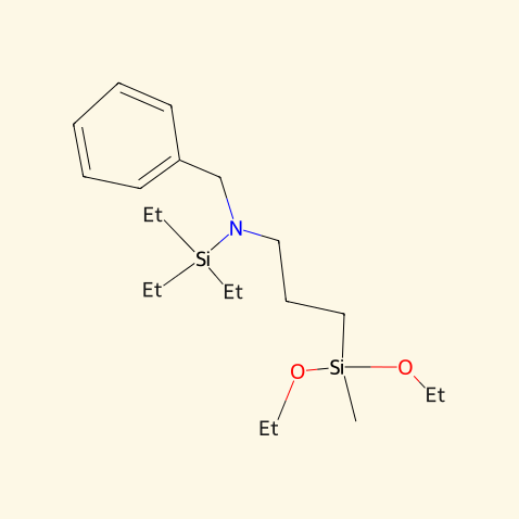 CCO[Si](C)(CCCN(Cc1ccccc1)[Si](CC)(CC)CC)OCC